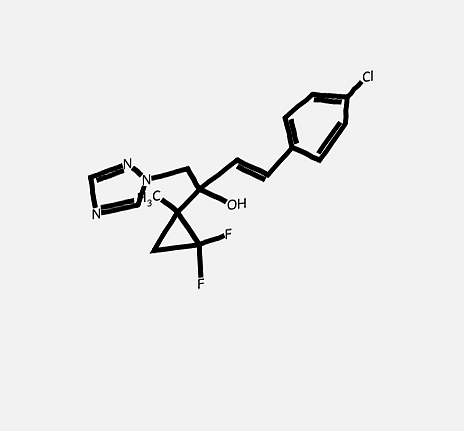 CC1(C(O)(/C=C/c2ccc(Cl)cc2)Cn2cncn2)CC1(F)F